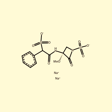 CO[C@]1(NC(=O)C(c2ccccc2)S(=O)(=O)[O-])CN(S(=O)(=O)[O-])C1=O.[Na+].[Na+]